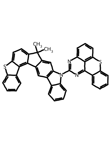 CC1(C)c2cc3c(cc2-c2c1ccc1sc4ccccc4c21)c1ccccc1n3-c1nc2c3c(cccc3n1)Sc1ccccc1-2